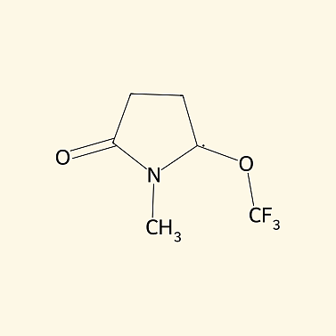 CN1[C](OC(F)(F)F)CCC1=O